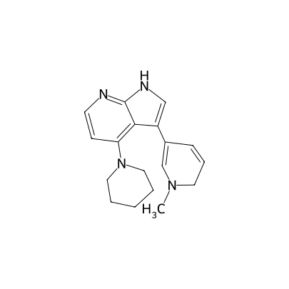 CN1C=C(c2c[nH]c3nccc(N4CCCCC4)c23)C=CC1